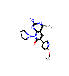 COc1ccc(-c2cc3c(C)nc(N)nc3n(N3CCCC3)c2=O)cn1